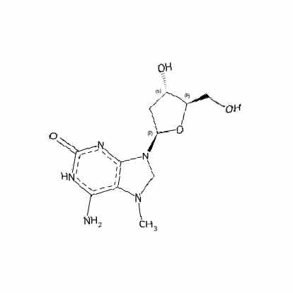 CN1CN([C@H]2C[C@H](O)[C@@H](CO)O2)c2nc(=O)[nH]c(N)c21